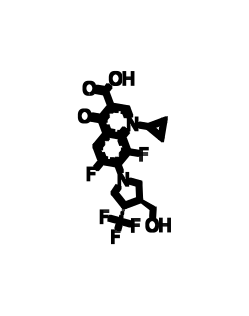 O=C(O)c1cn(C2CC2)c2c(F)c(N3C[C@@H](CO)[C@H](C(F)(F)F)C3)c(F)cc2c1=O